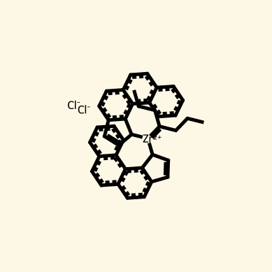 CCC[C](CCC)=[Zr+2]([CH]1C=Cc2ccc3ccc4ccccc4c3c21)[CH]1C=Cc2ccc3ccc4ccccc4c3c21.[Cl-].[Cl-]